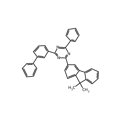 CC1(C)c2ccccc2-c2cc(-c3nc(-c4ccccc4)nc(-c4cccc(-c5ccccc5)c4)n3)ccc21